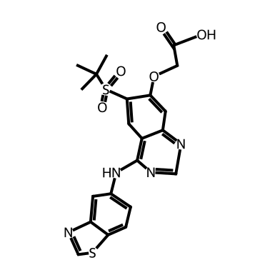 CC(C)(C)S(=O)(=O)c1cc2c(Nc3ccc4scnc4c3)ncnc2cc1OCC(=O)O